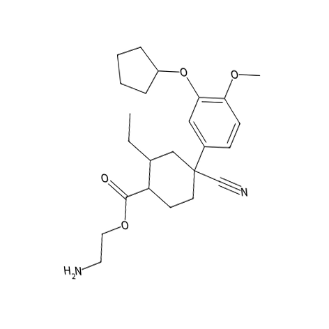 CCC1CC(C#N)(c2ccc(OC)c(OC3CCCC3)c2)CCC1C(=O)OCCN